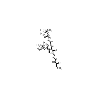 CCC(=O)NCCCNC(=O)C(CCCCNC(=O)OC(C)(C)C)NC(=O)OC(C)(C)C